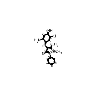 Cc1c(N=C2C=C(Cl)C(=N)C=C2N)c(=O)n(-c2ccccc2)n1C